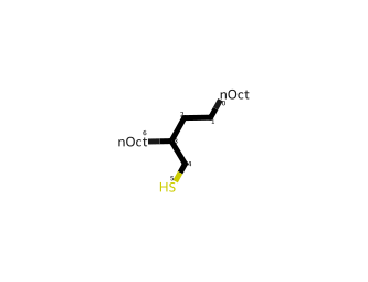 CCCCCCCCCCC(CS)CCCCCCCC